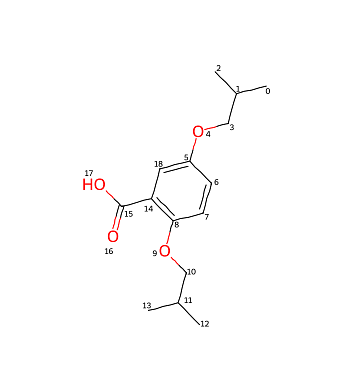 CC(C)COc1ccc(OCC(C)C)c(C(=O)O)c1